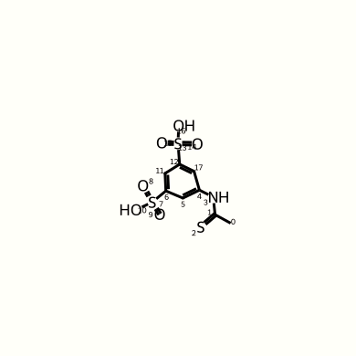 CC(=S)Nc1cc(S(=O)(=O)O)cc(S(=O)(=O)O)c1